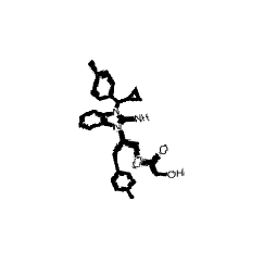 Cc1ccc(CC(COC(=O)CO)n2c(=N)n(C(c3ccc(C)cc3)C3CC3)c3ccccc32)cc1